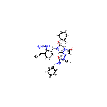 C=Cc1cccc(CN2C[C@H]3N(C(=O)CN3N(C)C(=O)NCc3ccccc3)[C@@H](Cc3ccccc3)C2=O)c1NN